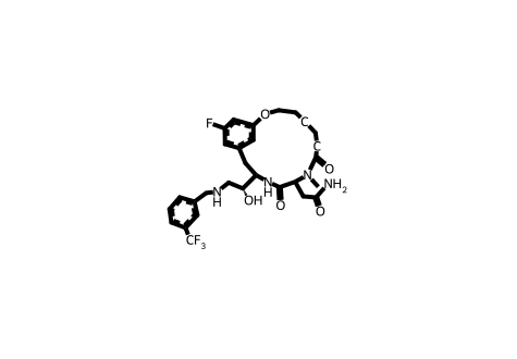 CN1C(=O)CCCCCOc2cc(F)cc(c2)CC([C@H](O)CNCc2cccc(C(F)(F)F)c2)NC(=O)C1CC(N)=O